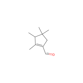 CC1=C(C=O)CC(C)(C)C1C